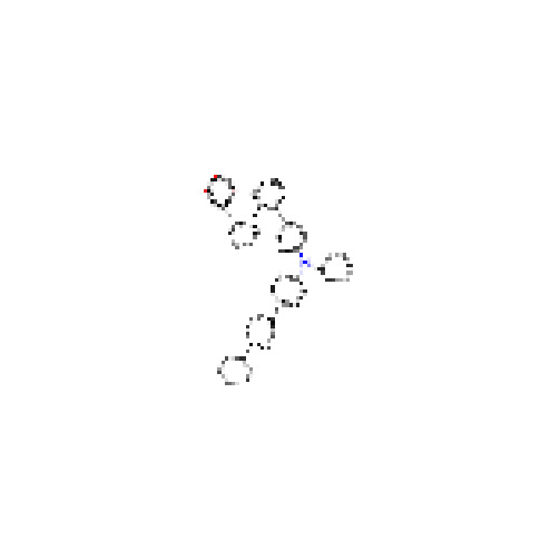 c1ccc(-c2ccc(-c3ccc(N(c4ccccc4)c4ccc(-c5cccc(-c6ccccc6)c5-c5ccccc5-c5ccccc5)cc4)cc3)cc2)cc1